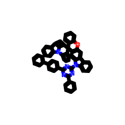 c1ccc(-c2ccc(-c3nc(-c4ccccc4)nc(-n4c5ccccc5c5cc6c(cc54)C4(c5ccccc5O6)c5ccccc5-n5c6ccccc6c6cccc4c65)n3)cc2)cc1